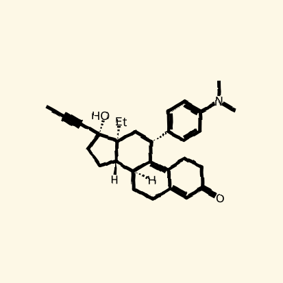 CC#C[C@]1(O)CC[C@H]2[C@@H]3CCC4=CC(=O)CCC4=C3[C@@H](c3ccc(N(C)C)cc3)C[C@@]21CC